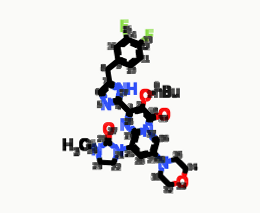 CCCCOc1c(-c2ncc(Cc3ccc(F)c(F)c3)[nH]2)nc2c(N3CCN(C)C3=O)cc(N3CCOCC3)cn2c1=O